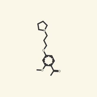 COc1cc(OCCCN2CCCC2)ccc1C(C)=O